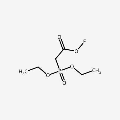 CCOP(=O)(CC(=O)OF)OCC